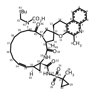 Cc1nc2ccccc2c2c1O[C@]1(CC2)C[C@H]2C(=O)N[C@]3(C(=O)NS(=O)(=O)C4(C)CC4)C[C@H]3/C=C\CCCCC[C@H](N(CC(C)(C)C)C(=O)O)C(=O)N2C1